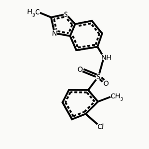 Cc1nc2cc(NS(=O)(=O)c3cccc(Cl)c3C)ccc2s1